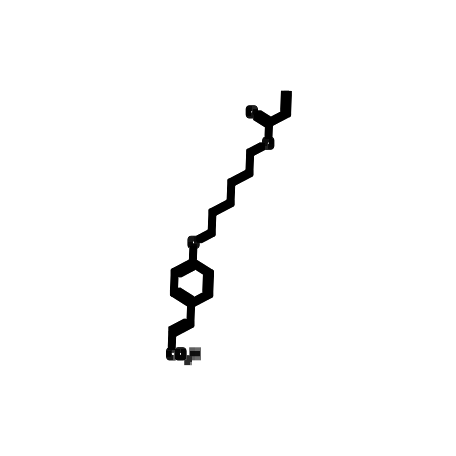 C=CC(=O)OCCCCCCOc1ccc(C=CC(=O)O)cc1